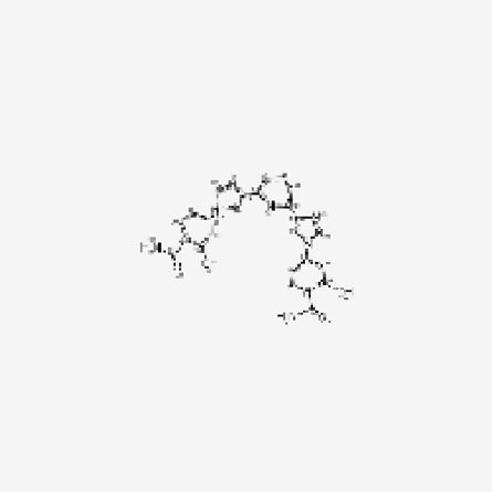 NC(=O)c1ccc(-n2cc(-c3cccc(-c4cn(-c5ccc(C(N)=O)c(O)c5)nn4)n3)nn2)cc1O